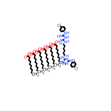 CCCCCCCCCC(=O)O.CCCCCCCCCC(=O)O.CCCCCCCCCC(=O)O.CCCCCCCCCC(=O)O.CCCCCCCCCC(=O)O.CCCCCCCCCC(=O)O.N=C(NCCCCCCNC(=N)NC(=N)Nc1ccc(Cl)cc1)NC(=N)Nc1ccc(Cl)cc1